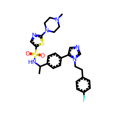 CC(NS(=O)(=O)c1cnc(N2CCN(C)CC2)s1)c1ccc(-c2cncn2CCc2ccc(F)cc2)cc1